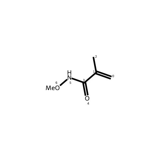 C=C(C)C(=O)NOC